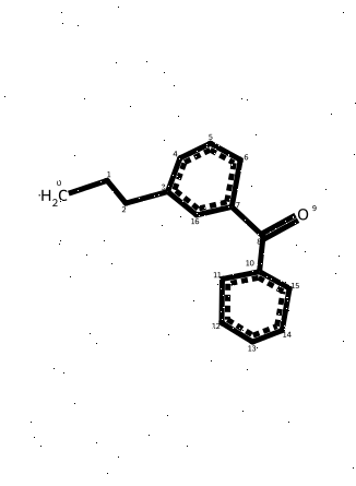 [CH2]CCc1cccc(C(=O)c2ccccc2)c1